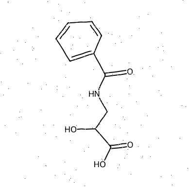 O=C(NCC(O)C(=O)O)c1ccccc1